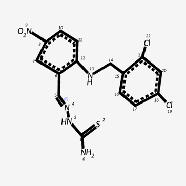 NC(=S)N/N=C/c1cc([N+](=O)[O-])ccc1NCc1ccc(Cl)cc1Cl